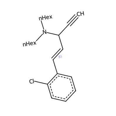 C#CC(/C=C/c1ccccc1Cl)N(CCCCCC)CCCCCC